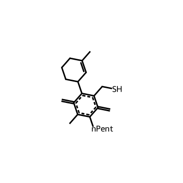 C=c1c(CCCCC)c(C)c(=C)c(C2C=C(C)CCC2)c1CS